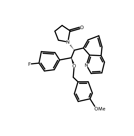 COc1ccc(CO[C@@H](c2ccc(F)cc2)[C@@H](c2cccc3cccnc23)N2CCCC2=O)cc1